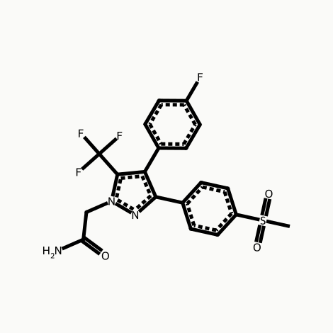 CS(=O)(=O)c1ccc(-c2nn(CC(N)=O)c(C(F)(F)F)c2-c2ccc(F)cc2)cc1